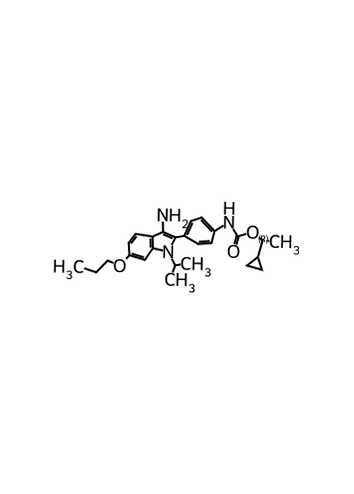 CCCOc1ccc2c(N)c(-c3ccc(NC(=O)O[C@H](C)C4CC4)cc3)n(C(C)C)c2c1